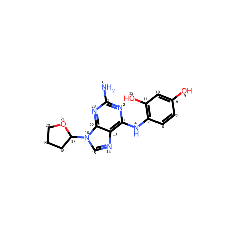 Nc1nc(Nc2ccc(O)cc2O)c2ncn(C3CCCO3)c2n1